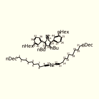 CCCCCCCCCCCCCCCCCCC#[C][Ni][C]#CCCCCCCCCCCCCCCCCCC.CCCCCCc1cccc(C2=C(CCCC)C(CCCC)=C(c3cccc(CCCCCC)c3)[N+]2=[N-])c1